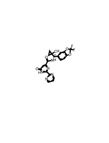 CC1([C@@H](NC(=O)c2cc(=O)[nH]c(-c3ncccn3)n2)c2ccc3c(c2)OC(F)(F)O3)CC1